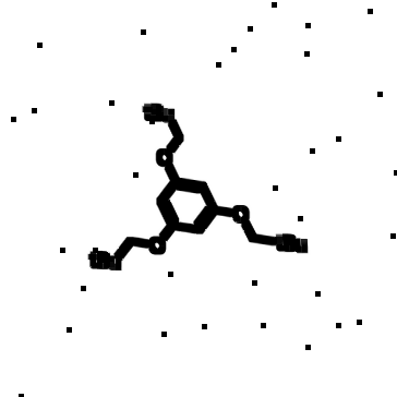 CC(C)(C)COc1cc(OCC(C)(C)C)cc(OCC(C)(C)C)c1